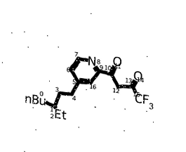 CCCCC(CC)CCc1ccnc(C(=O)CC(=O)C(F)(F)F)c1